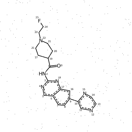 O=C(Nc1ncc2ccc(-c3cnccn3)cc2n1)C1CCN(CCF)CC1